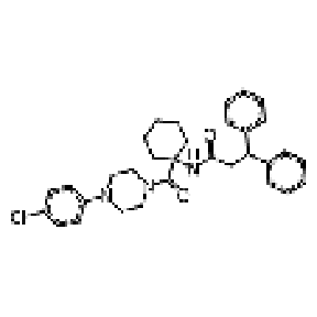 O=C(CC(c1ccccc1)c1ccccc1)NC1(C(=O)N2CCN(c3ccc(Cl)cc3)CC2)CCCCC1